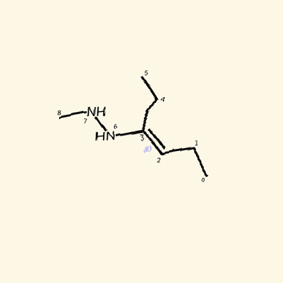 CC/C=C(\CC)NNC